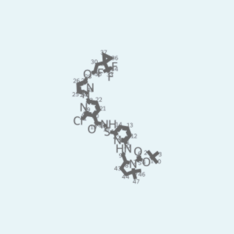 CC(C)(C)OC(=O)N1C(CNc2cccc(SNC(=O)c3ccc(-n4ccc(OCCC5(C(F)(F)F)CC5)n4)nc3Cl)n2)CCC1(C)C